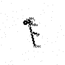 CCCCCCCCCCCCCCCCCCN(CCCCOn1c(CCCC)nc2c(N)nc3ccccc3c21)CCCN(C)C